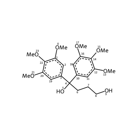 COc1cc(C(O)(CCCO)c2cc(OC)c(OC)c(OC)c2)cc(OC)c1OC